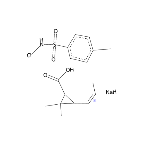 C/C=C\C1C(C(=O)O)C1(C)C.Cc1ccc(S(=O)(=O)NCl)cc1.[NaH]